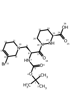 CC(C)(C)OC(=O)N[C@@H](CN1CCC=C(Br)C1)C(=O)N1CCC[C@@H](C(=O)O)N1